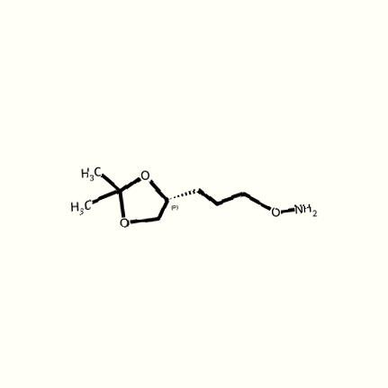 CC1(C)OC[C@@H](CCCON)O1